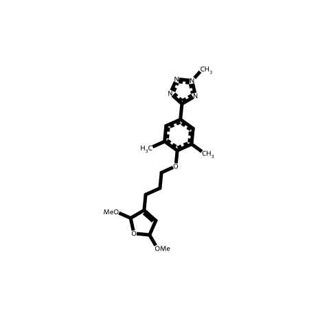 COC1C=C(CCCOc2c(C)cc(-c3nnn(C)n3)cc2C)C(OC)O1